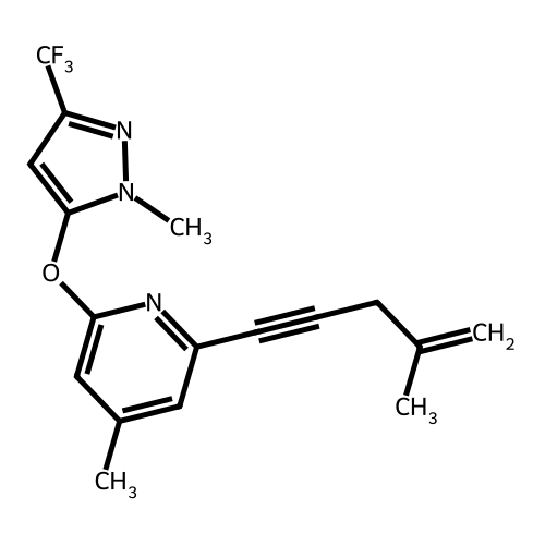 C=C(C)CC#Cc1cc(C)cc(Oc2cc(C(F)(F)F)nn2C)n1